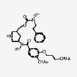 CCCN(CCc1ccccc1)C(=O)OCC1CNCC(N(C(=O)c2ccc(OC)c(OCCCOC)c2)C(C)C)C1